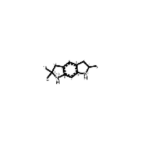 CC1Cc2cc3c(cc2N1)NC(C)(C)C3